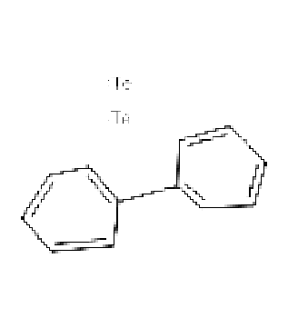 [Te].[Te].c1ccc(-c2ccccc2)cc1